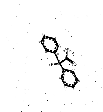 NC(=O)C(F)(c1ccccc1)c1ccccc1